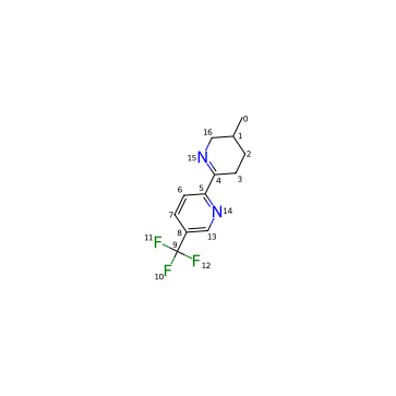 CC1CCC(c2ccc(C(F)(F)F)cn2)=NC1